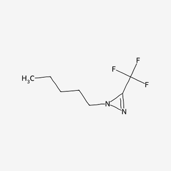 CCCCCN1N=C1C(F)(F)F